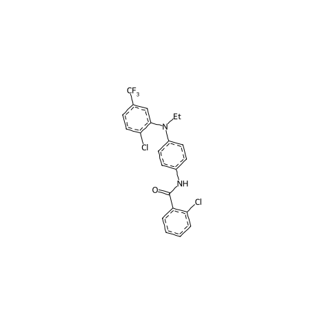 CCN(c1ccc(NC(=O)c2ccccc2Cl)cc1)c1cc(C(F)(F)F)ccc1Cl